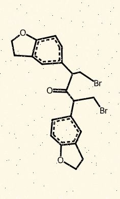 O=C(C(CBr)c1ccc2c(c1)CCO2)C(CBr)c1ccc2c(c1)CCO2